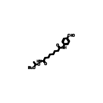 CC(C)COC(C)ONC(=O)CCCCCCC(=O)Nc1ccc(C=O)cc1